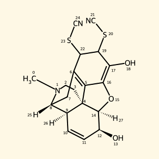 CN1CC[C@@]23C4=C5C[C@@H]1[C@@H]2C=C[C@H](O)[C@@H]3OC4=C(O)C(SC#N)C5SC#N